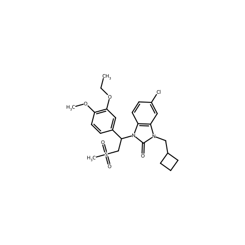 CCOc1cc(C(CS(C)(=O)=O)n2c(=O)n(CC3CCC3)c3cc(Cl)ccc32)ccc1OC